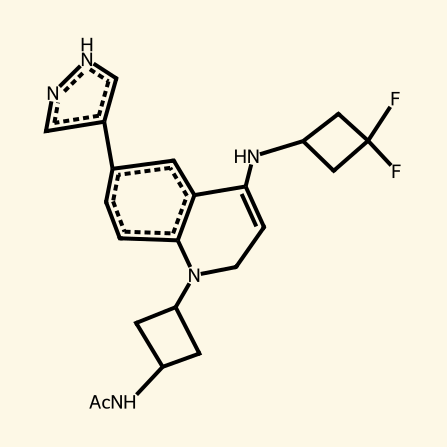 CC(=O)NC1CC(N2CC=C(NC3CC(F)(F)C3)c3cc(-c4cn[nH]c4)ccc32)C1